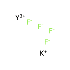 [F-].[F-].[F-].[F-].[K+].[Y+3]